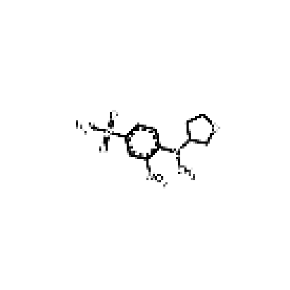 CN(c1ccc(S(N)(=O)=O)cc1[N+](=O)[O-])C1CCOC1